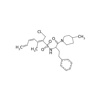 C=C/C=C\C(C)=C(/CCl)S(=O)(=O)NC(CCc1ccccc1)C(=O)N1CCC(C)CC1